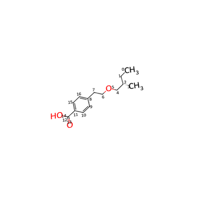 CC[C@H](C)COCCc1ccc(C(=O)O)cc1